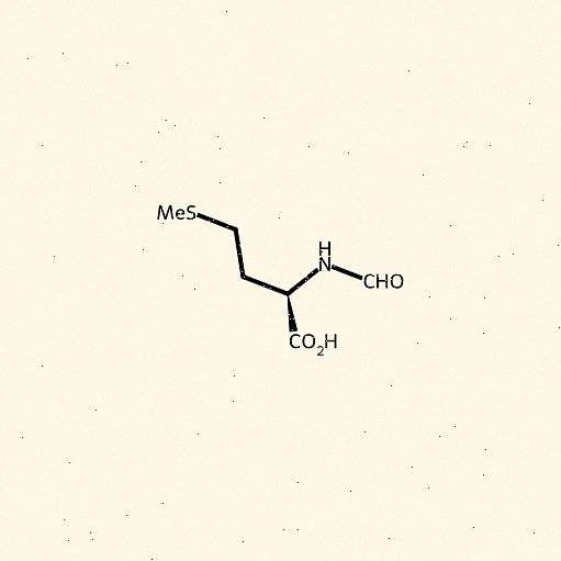 CSCC[C@@H](NC=O)C(=O)O